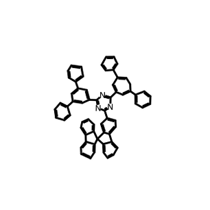 C1=C(c2ccccc2)C=C(c2nc(-c3cc(-c4ccccc4)cc(-c4ccccc4)c3)nc(-c3ccc4c(c3)C3(c5ccccc5-c5ccccc53)c3ccccc3-4)n2)C=C(c2ccccc2)C1